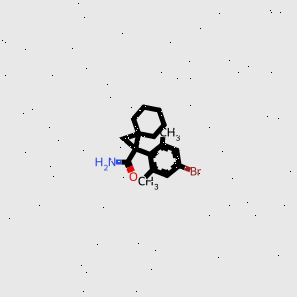 Cc1cc(Br)cc(C)c1C1(C(N)=O)CC12CCCCC2